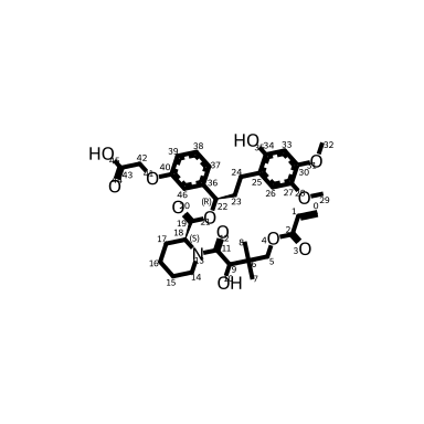 C=CC(=O)OCC(C)(C)C(O)C(=O)N1CCCC[C@H]1C(=O)O[C@H](CCc1cc(OC)c(OC)cc1O)c1cccc(OCC(=O)O)c1